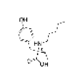 CCCCCN[C@@](CC)(Cc1ccc(O)cc1)C(=O)O